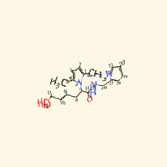 Cc1ccc(C)n1C(CCCCO)C(=O)NCc1ccccn1